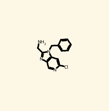 NCc1nc2cnc(Cl)cc2n1Cc1ccccc1